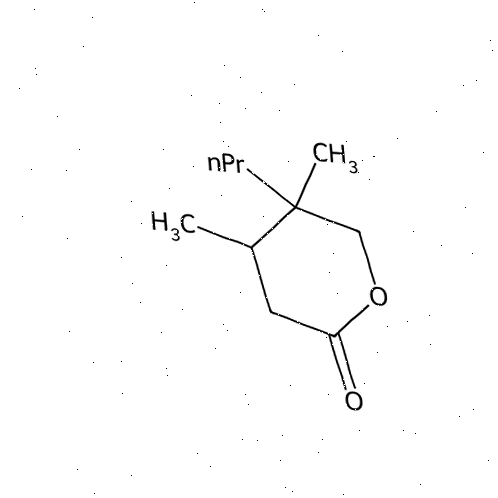 CCCC1(C)COC(=O)CC1C